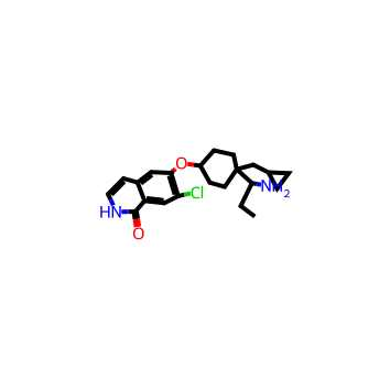 CCC(N)C1(CC2CC2)CCC(Oc2cc3cc[nH]c(=O)c3cc2Cl)CC1